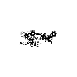 CC(=O)OC[C@H]1O[C@@H](Oc2n[nH]c(C(C)C)c2Cc2ccc(C#CCCC(=O)NC(C)(C)C(=O)OCc3ccccc3)cc2)[C@H](OC(C)=O)[C@@H](OC(C)=O)[C@H]1OC(C)=O